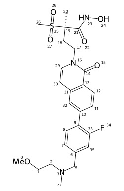 COCCN(C)Cc1ccc(-c2ccc3c(=O)n(CC[C@](C)(C(=O)NO)S(C)(=O)=O)ccc3c2)c(F)c1